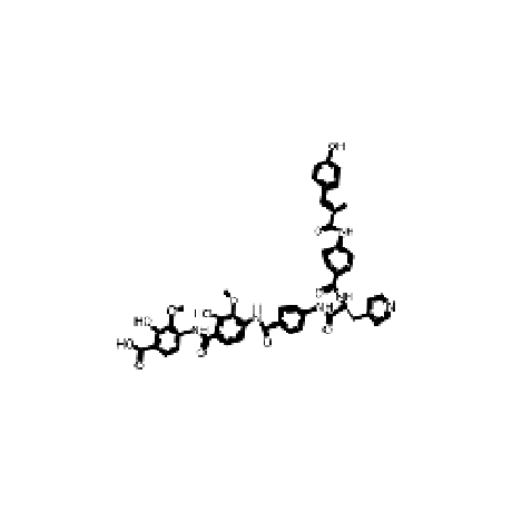 COc1c(NC(=O)c2ccc(NC(=O)c3ccc(NC(=O)[C@H](Cc4ccncc4)NC(=O)c4ccc(NC(=O)/C(C)=C/c5ccc(O)cc5)cc4)cc3)c(OC)c2O)ccc(C(=O)O)c1O